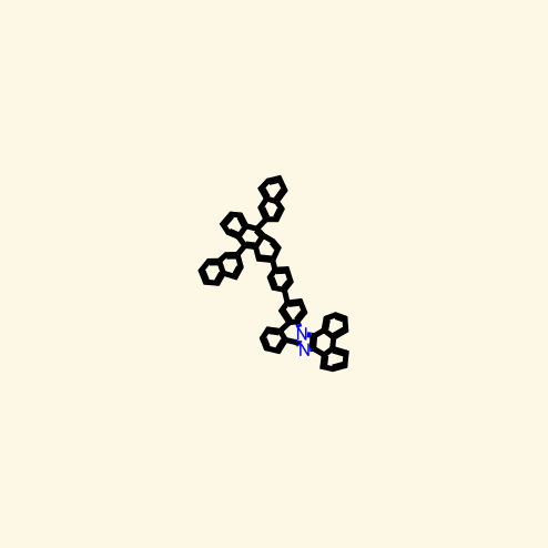 c1ccc2cc(-c3c4ccccc4c(-c4ccc5ccccc5c4)c4cc(-c5ccc(-c6ccc7c(c6)c6ccccc6c6nc8c9ccccc9c9ccccc9c8n76)cc5)ccc34)ccc2c1